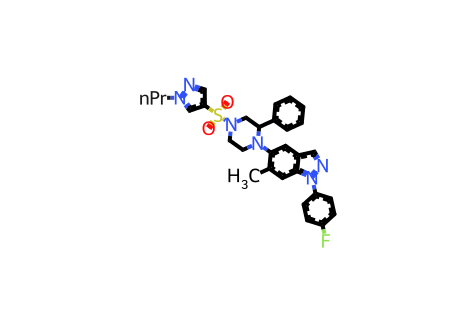 CCCn1cc(S(=O)(=O)N2CCN(c3cc4cnn(-c5ccc(F)cc5)c4cc3C)C(c3ccccc3)C2)cn1